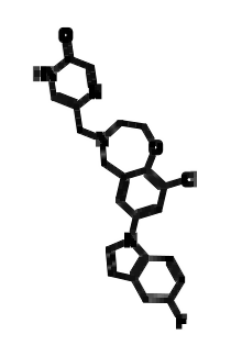 O=c1cnc(CN2CCOc3c(Cl)cc(-n4ccc5cc(F)ccc54)cc3C2)c[nH]1